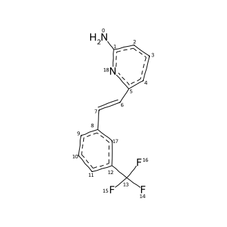 Nc1cccc(C=Cc2cccc(C(F)(F)F)c2)n1